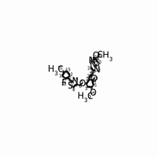 COc1cc(OCc2csc(-c3ccc(C)cc3F)n2)c2cc(-c3cn4nc(OC)sc4n3)oc2c1